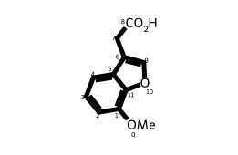 COc1cccc2c(CC(=O)O)coc12